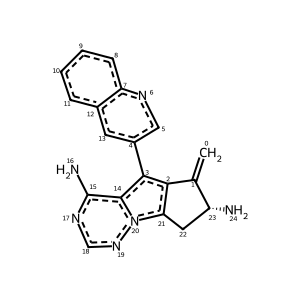 C=C1c2c(-c3cnc4ccccc4c3)c3c(N)ncnn3c2C[C@H]1N